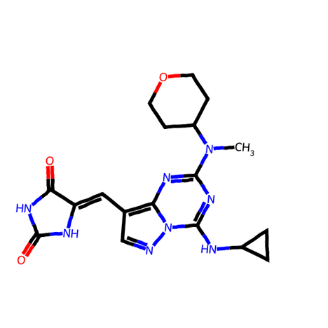 CN(c1nc(NC2CC2)n2ncc(/C=C3\NC(=O)NC3=O)c2n1)C1CCOCC1